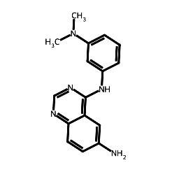 CN(C)c1cccc(Nc2ncnc3ccc(N)cc23)c1